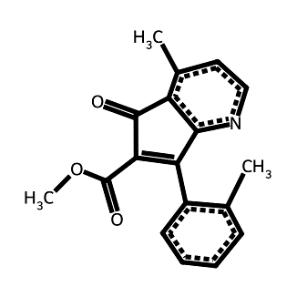 COC(=O)C1=C(c2ccccc2C)c2nccc(C)c2C1=O